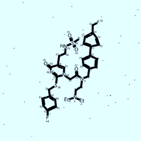 CCN(CC)CCN(Cc1ccc(-c2ccc(CF)cc2)cc1)C(=O)Cn1cc(CCNS(C)(=O)=O)c(=O)nc1SCc1ccc(F)cc1